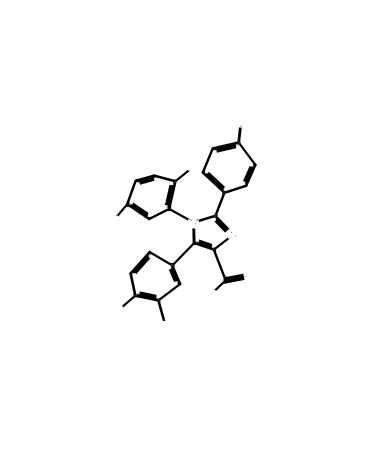 Cc1ccc(-c2nc(C(=O)O)c(-c3ccc(F)c(Cl)c3)n2-c2cc(Cl)ccc2F)cc1